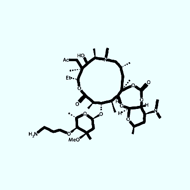 CC[C@H]1OC(=O)[C@H](C)[C@@H](O[C@H]2C[C@@](C)(OC)[C@@H](OCCCN)[C@H](C)O2)[C@H](C)[C@H]2O[C@@H]3O[C@H](C)C[C@H](N(C)C)[C@H]3OC(=O)O[C@]2(C)C[C@@H](C)CN(C)[C@H](C)C(O)[C@]1(C)CC(C)=O